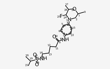 CC1CN(c2ccc(NC(=O)CCCCNS(=O)(=O)C(C)C)cc2)C(F)C(C)O1